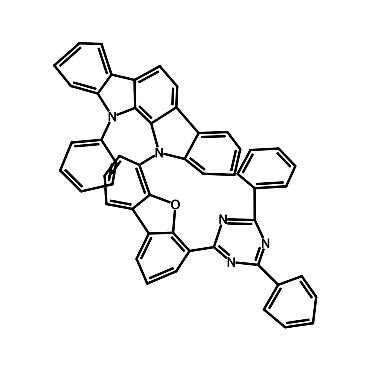 c1ccc(-c2nc(-c3ccccc3)nc(-c3cccc4c3oc3c(-n5c6ccccc6c6ccc7c8ccccc8n(-c8ccccc8)c7c65)cccc34)n2)cc1